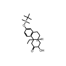 CCC12CC(=O)C(O)C[C@H]1CCc1cc(O[Si](C)(C)C(C)(C)C)ccc12